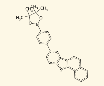 CC1(C)OB(c2ccc(-c3ccc4sc5c6ccccc6ccc5c4c3)cc2)OC1(C)C